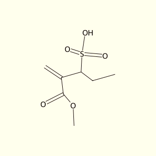 C=C(C(=O)OC)C(CC)S(=O)(=O)O